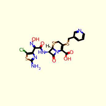 Nc1nc(/C(=N/O)C(=O)N[C@@H]2C(=O)N3C(C(=O)O)=C(SCc4cccnc4)CS[C@H]23)c(Cl)s1